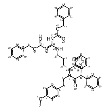 COc1ccc(CCN(C(=O)C(c2ccccc2)c2ccccc2)[C@H](CCCNC(=NC(=O)OCc2ccccc2)NC(=O)OCc2ccccc2)C(N)=O)cc1